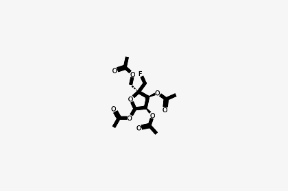 CC(=O)OC[C@@]1(CF)OC(OC(C)=O)[C@H](OC(C)=O)[C@@H]1OC(C)=O